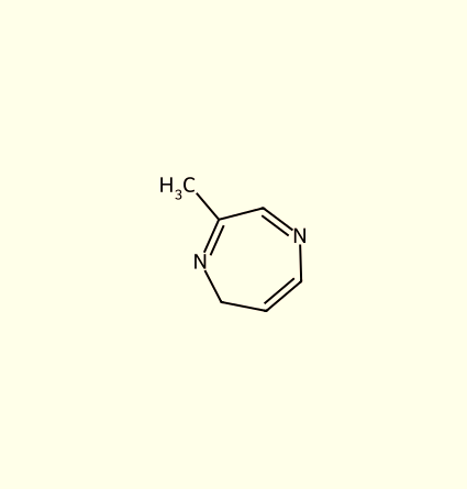 CC1=NCC=CN=C1